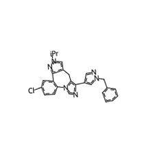 CC(C)n1cc2c(n1)-c1cc(Cl)ccc1-n1cnc(-c3cnn(Cc4ccccc4)c3)c1C2